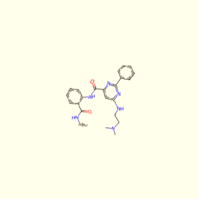 CCCCNC(=O)c1ccccc1NC(=O)c1cc(NCCN(C)C)nc(-c2ccccc2)n1